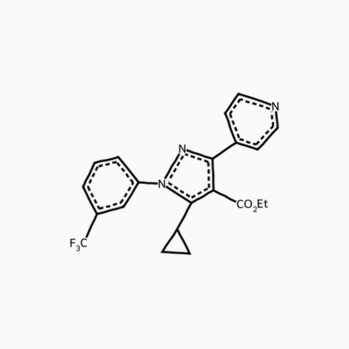 CCOC(=O)c1c(-c2ccncc2)nn(-c2cccc(C(F)(F)F)c2)c1C1CC1